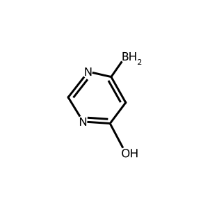 Bc1cc(O)ncn1